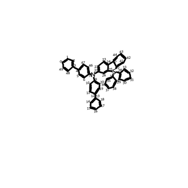 c1ccc(-c2ccc(N(c3ccc(-c4ccccc4)cc3)c3ccc4c(c3)S(c3ccccc3)(c3ccccc3)c3ccccc3-4)cc2)cc1